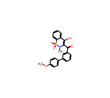 COc1ccc(-c2cccc(C(=O)C3=C(O)c4ccccc4S(=O)(=O)N3C)c2)cc1